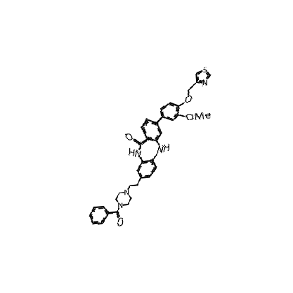 COc1cc(-c2ccc3c(c2)Nc2ccc(CCN4CCN(C(=O)c5ccccc5)CC4)cc2NC3=O)ccc1OCc1cscn1